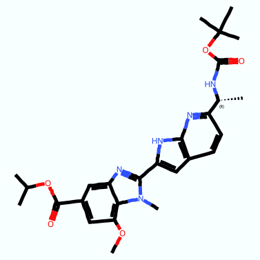 COc1cc(C(=O)OC(C)C)cc2nc(-c3cc4ccc([C@@H](C)NC(=O)OC(C)(C)C)nc4[nH]3)n(C)c12